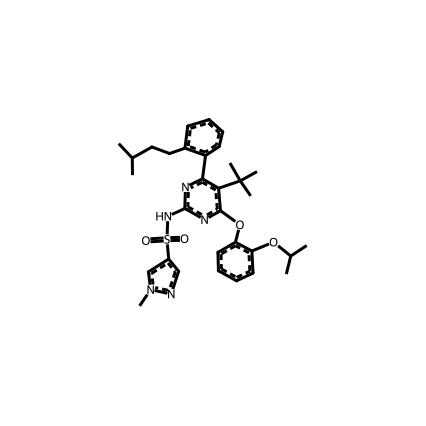 CC(C)CCc1ccccc1-c1nc(NS(=O)(=O)c2cnn(C)c2)nc(Oc2ccccc2OC(C)C)c1C(C)(C)C